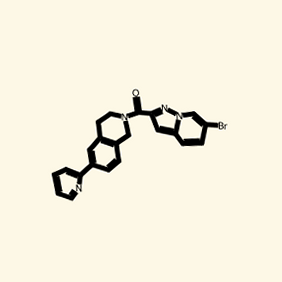 O=C(c1cc2ccc(Br)cn2n1)N1CCc2cc(-c3ccccn3)ccc2C1